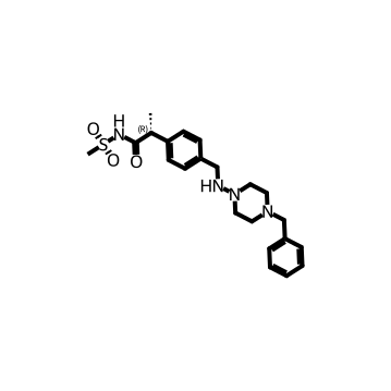 C[C@@H](C(=O)NS(C)(=O)=O)c1ccc(CNN2CCN(Cc3ccccc3)CC2)cc1